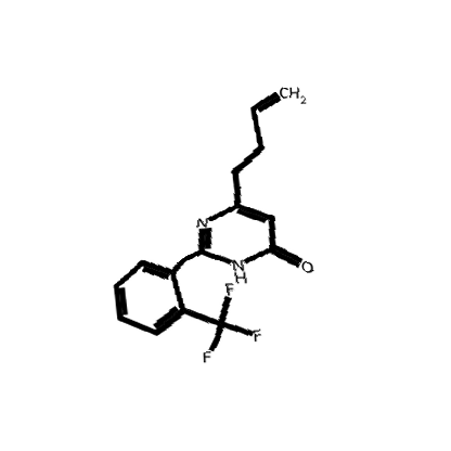 C=CCCc1cc(=O)[nH]c(-c2ccccc2C(F)(F)F)n1